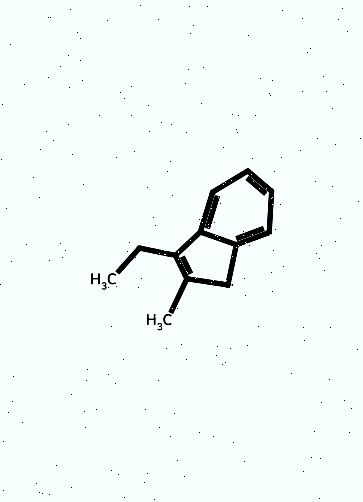 CCC1=C(C)[CH]c2ccccc21